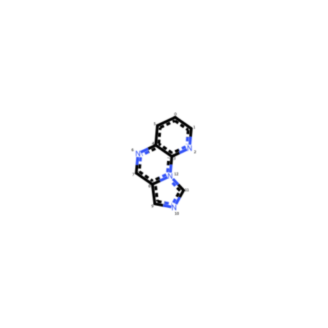 c1cnc2c(c1)ncc1cncn12